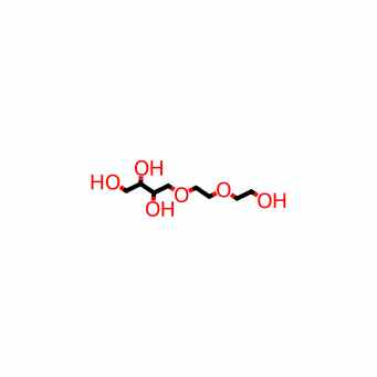 OCCOCCOCC(O)C(O)CO